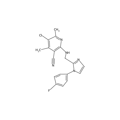 Cc1nc(NCc2nccn2-c2ccc(F)cc2)c(C#N)c(C)c1Cl